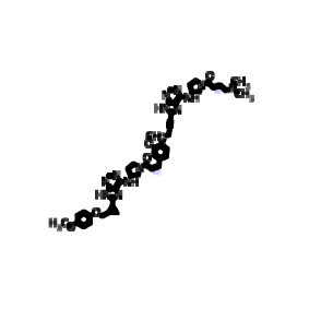 COc1ccc(OCC2=C(c3nc4c(NC5CCN(C(=O)/C=C\c6ccc(OCC#Cc7nc8c(NC9CCN(C(=O)/C=C/CN(C)C)C9)ncnc8[nH]7)c(OC)c6)C5)ncnc4[nH]3)C2)cc1